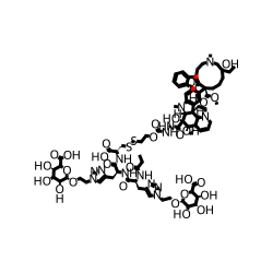 CCC(=O)N[C@@H](Cc1cn(CCO[C@@H]2OC(C(=O)O)[C@@H](O)[C@H](O)C2O)nn1)C(=O)N[C@@H](Cc1cn(CCO[C@@H]2OC(C(=O)O)[C@@H](O)C(O)[C@@H]2O)nn1)C(=O)N[C@@H](CSSCCOC(=O)NNC(=O)[C@@]1(O)[C@H](O)[C@]2(CC)C=CCN3CC[C@@]4(c5cc([C@@]6(C(=O)OC)CCC[C@@](O)(CC)CN(C)CCc7c6[nH]c6ccccc76)c(OC)cc5N(C)[C@@H]14)[C@@H]32)C(=O)O